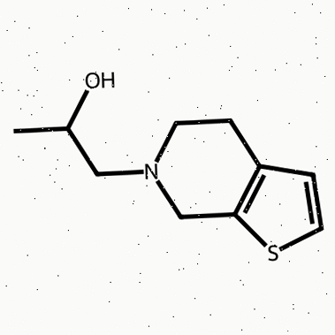 CC(O)CN1CCc2ccsc2C1